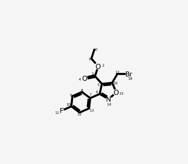 CCOC(=O)c1c(-c2ccc(F)cc2)noc1CBr